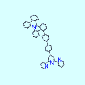 c1ccc(-c2ccccc2-c2nc3ccccc3c3c(-c4ccc(-c5ccc(-c6cc(-c7ccccn7)nc(-c7ccccn7)c6)cc5)cc4)cccc23)cc1